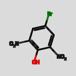 O=[N+]([O-])c1cc(Br)cc([N+](=O)[O-])c1O